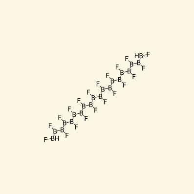 FBB(F)B(F)B(F)B(F)B(F)B(F)B(F)B(F)B(F)B(F)B(F)B(F)B(F)B(F)B(F)B(F)B(F)B(F)BF